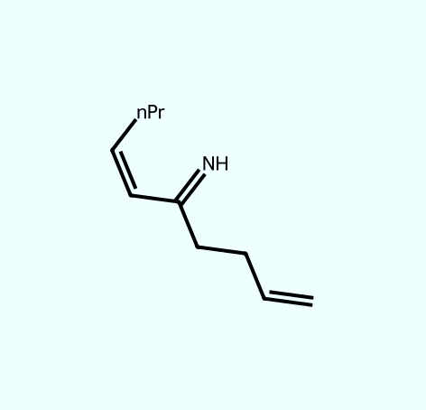 C=CCCC(=N)/C=C\CCC